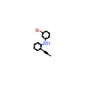 CC#Cc1ccccc1Nc1cccc(Br)c1